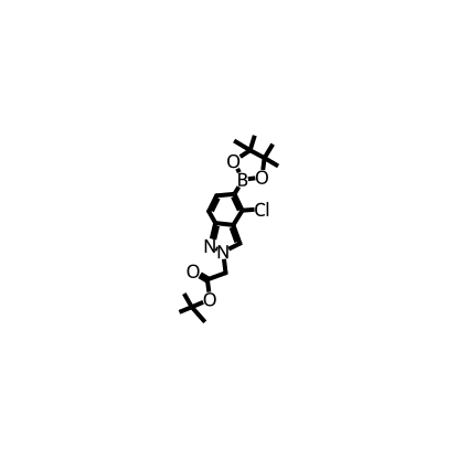 CC(C)(C)OC(=O)Cn1cc2c(Cl)c(B3OC(C)(C)C(C)(C)O3)ccc2n1